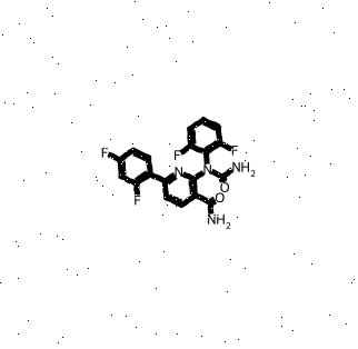 NC(=O)c1ccc(-c2ccc(F)cc2F)nc1N(C(N)=O)c1c(F)cccc1F